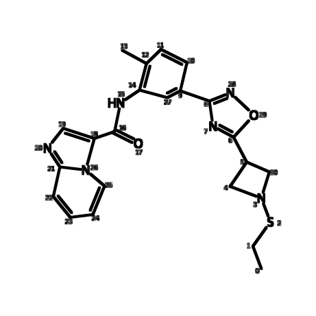 CCSN1CC(c2nc(-c3ccc(C)c(NC(=O)c4cnc5ccccn45)c3)no2)C1